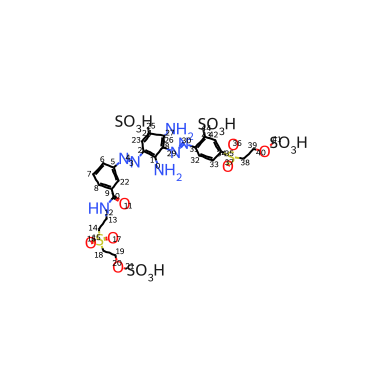 Nc1c(/N=N/c2cccc(C(=O)NCCS(=O)(=O)CCOS(=O)(=O)O)c2)cc(S(=O)(=O)O)c(N)c1/N=N/c1ccc(S(=O)(=O)CCOS(=O)(=O)O)cc1S(=O)(=O)O